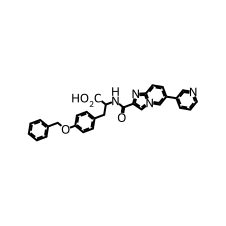 O=C(NC(Cc1ccc(OCc2ccccc2)cc1)C(=O)O)c1cn2cc(-c3cccnc3)ccc2n1